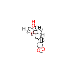 CC(O)C(=O)[C@@]1(C)CC[C@H]2[C@@H]3CCC4=C(CCC5(C4)OCCO5)C3=CC[C@@]21C